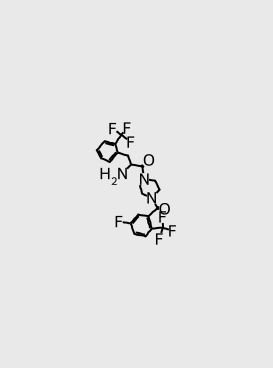 NC(Cc1ccccc1C(F)(F)F)C(=O)N1CCN(C(=O)c2cc(F)ccc2C(F)(F)F)CC1